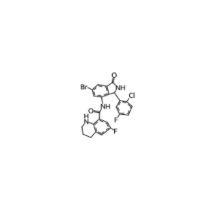 O=C(Nc1cc(Br)cc2c1C(c1cc(F)ccc1Cl)NC2=O)c1cc(F)cc2c1NCCC2